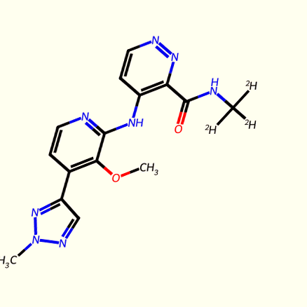 [2H]C([2H])([2H])NC(=O)c1nnccc1Nc1nccc(-c2cnn(C)n2)c1OC